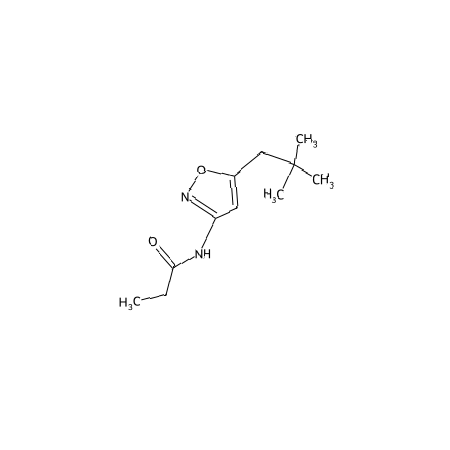 CCC(=O)Nc1cc(CC(C)(C)C)on1